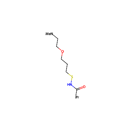 CNCCOCCCSNC(=O)C(C)C